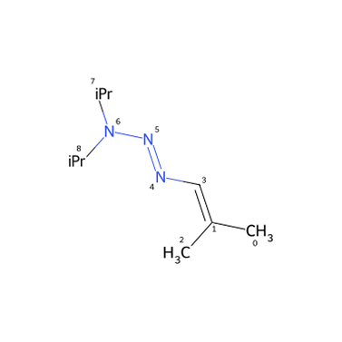 CC(C)=CN=NN(C(C)C)C(C)C